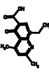 CCn1cc(C(=O)O)c(=O)c2c(C)cc(C)nc21